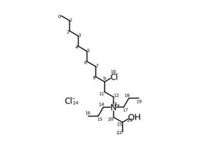 CCCCCCCCCC(Cl)CC[N+](CCC)(CCC)CC(C)O.[Cl-]